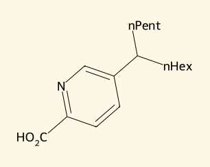 CCCCCCC(CCCCC)c1ccc(C(=O)O)nc1